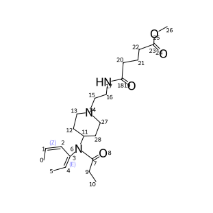 C/C=C\C(=C/C)N(C(=O)CC)C1CCN(CCNC(=O)CCCC(=O)OC)CC1